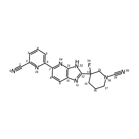 N#Cc1cccc(-c2ccc3nc(C4(F)CCCN(C#N)C4)[nH]c3n2)n1